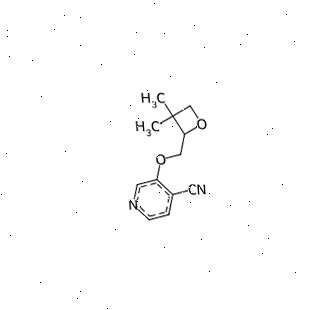 CC1(C)COC1COc1cnccc1C#N